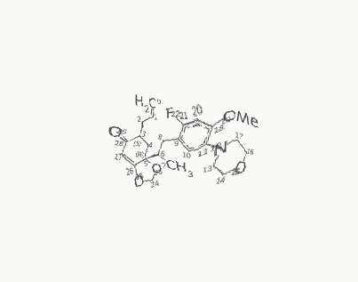 C=CC[C@H]1C[C@]2(C(C)Cc3cc(N4CCOCC4)c(OC)cc3F)OCOC2=CC1=O